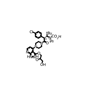 CC(C)N(C(=O)O)C([C@@H](C(=O)N1CCN(c2ccnc3[nH]nc(OCC(O)CO)c23)CC1)c1ccc(Cl)cc1)C(C)(C)C